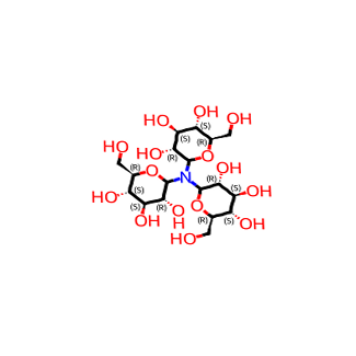 OC[C@H]1OC(N(C2O[C@H](CO)[C@@H](O)[C@H](O)[C@H]2O)C2O[C@H](CO)[C@@H](O)[C@H](O)[C@H]2O)[C@H](O)[C@@H](O)[C@@H]1O